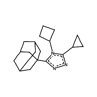 C1CC(n2c(C3CC3)nnc2C23CC4CC(CC(C4)C2)C3)C1